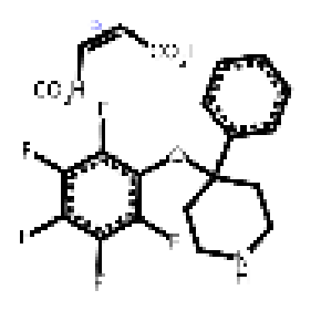 Fc1c(F)c(F)c(OC2(c3ccccc3)CCNCC2)c(F)c1F.O=C(O)/C=C\C(=O)O